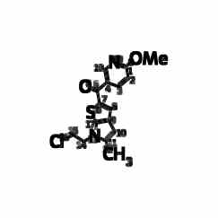 COc1ccc(C(=O)c2cc3cc(C)n(CCCl)c3s2)cn1